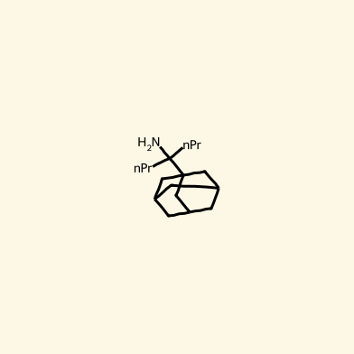 CCCC(N)(CCC)C12CC3CC(CC(C3)C1)C2